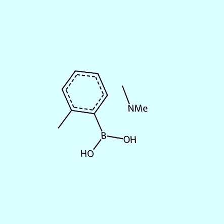 CNC.Cc1ccccc1B(O)O